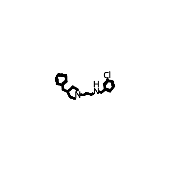 Clc1cccc(CNCCCN2CCC(Cc3ccccc3)CC2)c1